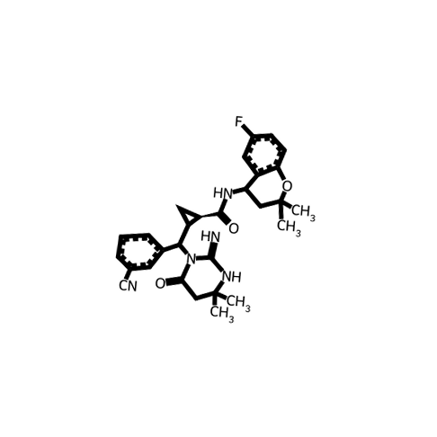 CC1(C)CC(=O)N(C(c2cccc(C#N)c2)C2C[C@H]2C(=O)NC2CC(C)(C)Oc3ccc(F)cc32)C(=N)N1